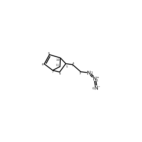 [N-]=[N+]=NC[CH]C1CC2C=CC1C2